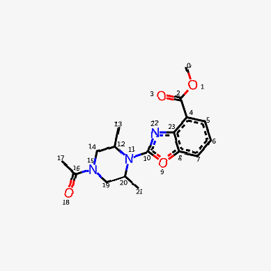 COC(=O)c1cccc2oc(N3C(C)CN(C(C)=O)CC3C)nc12